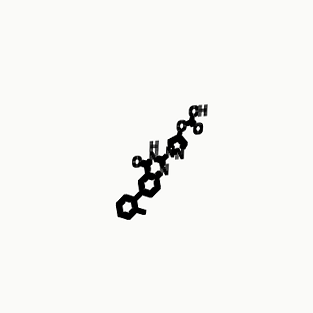 Cc1ccccc1-c1ccc2nc(-n3cc(OC(=O)O)cn3)[nH]c(=O)c2c1